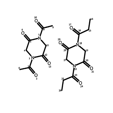 CC(=O)N1CC(=O)N(C(C)=O)CC1=O.CCC(=O)N1CC(=O)N(C(=O)CC)CC1=O